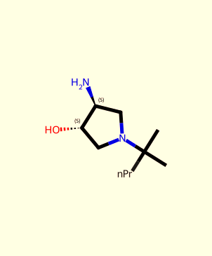 CCCC(C)(C)N1C[C@H](N)[C@@H](O)C1